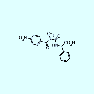 CN(C(=O)NC(C(=O)O)c1ccccc1)C(=O)c1ccc([N+](=O)[O-])cc1